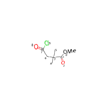 COC(=O)C(C)(C)CC(=O)Cl